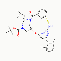 Cc1cccc(C)c1-c1cc2nc(n1)NSc1cccc(c1)C(=O)N1C[C@H](CN(C(=O)OC(C)(C)C)C[C@@H]1CC(C)C)O2